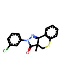 CC12CSc3ccccc3C1=NN(c1cccc(Cl)c1)C2=O